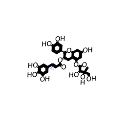 O=C(/C=C/c1cc(O)c(O)c(O)c1)O[C@H]1CC2=C(OC3OCC(O)(CO)C3O)C=C(O)CC2O[C@@H]1c1ccc(O)c(O)c1